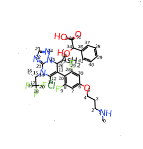 CNCCCOc1cc(F)c(C2=C(Cl)N([C@@H](C)C(F)(F)F)c3ncnn3C2[AsH2])c(F)c1.O=C(O)C(O)c1ccccc1